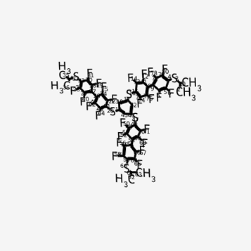 CC(C)Sc1c(F)c(F)c(-c2c(F)c(F)c(Sc3cc(Sc4c(F)c(F)c(-c5c(F)c(F)c(SC(C)C)c(F)c5F)c(F)c4F)cc(Sc4c(F)c(F)c(-c5c(F)c(F)c(SC(C)C)c(F)c5F)c(F)c4F)c3)c(F)c2F)c(F)c1F